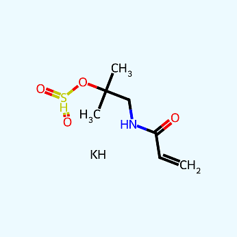 C=CC(=O)NCC(C)(C)O[SH](=O)=O.[KH]